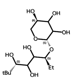 CC[C@H](O[C@@H]1OC[C@@H](O)C(O)C1O)C(O)C(O)[C@@H](O)C(C)(C)C